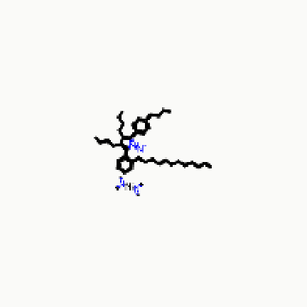 CCCCCCCC=CCCCc1ccccc1C1=C(CCCC)C(CCCC)=C(c2ccc(CCCC)cc2)[N+]1=[N-].C[N](C)[Ni][N](C)C